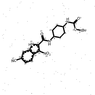 CC(C)(C)OC(=O)NC1CCC(NC(=O)c2[nH]c3cc(C#N)ccc3c2[N+](=O)[O-])CC1